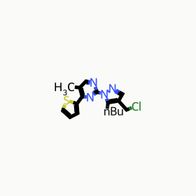 CCCCc1c(CCl)cnn1-c1ncc(C)c(-c2cccs2)n1